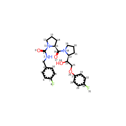 O=C(NCc1ccc(F)cc1)N1CCC[C@H]1C(=O)N1CCC[C@H]1C(O)COc1ccc(F)cc1